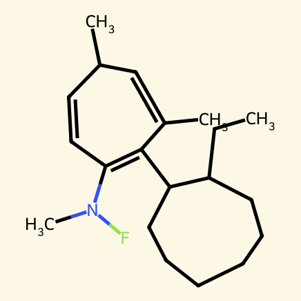 CCC1CCCCCCC1C1=C(N(C)F)C=CC(C)C=C1C